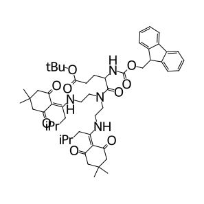 CC(C)CC(NCCN(CCNC(CC(C)C)=C1C(=O)CC(C)(C)CC1=O)C(=O)C(CCC(=O)OC(C)(C)C)NC(=O)OCC1c2ccccc2-c2ccccc21)=C1C(=O)CC(C)(C)CC1=O